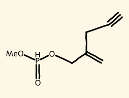 C#CCC(=C)CO[PH](=O)OC